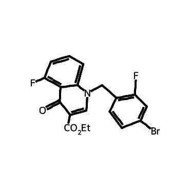 CCOC(=O)c1cn(Cc2ccc(Br)cc2F)c2cccc(F)c2c1=O